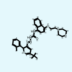 Cc1ccccc1C1OC=C(C(C)(C)C)C=C1N=NNC(=O)Nc1ccc(OCCN2CCSCC2)c2ccccc12